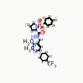 C=N/C(=C\C(=N/C)[C@H]1CC[C@H](C(F)(F)F)CC1)CNC(=O)[C@@H]1C[C@@H](F)CN1S(=O)(=O)c1ccc(F)cc1